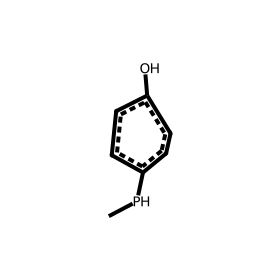 CPc1ccc(O)cc1